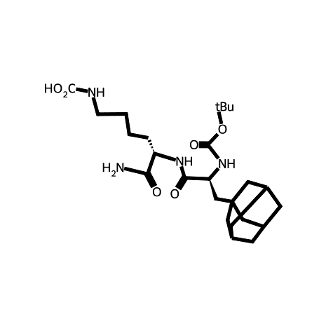 CC(C)(C)OC(=O)N[C@@H](CC12CC3CC(CC(C3)C1)C2)C(=O)N[C@@H](CCCCNC(=O)O)C(N)=O